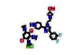 Cl.O=C1C=C(N2CC2)C(=O)C(N2CC2)=C1N1CC1.OC1CN(CCn2cc(-c3ccc(F)c(F)c3)nc2C2CCNCC2)C1